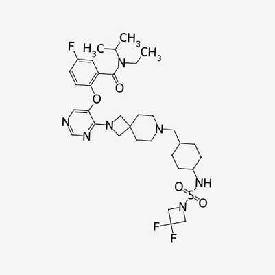 CCN(C(=O)c1cc(F)ccc1Oc1cncnc1N1CC2(CCN(CC3CCC(NS(=O)(=O)N4CC(F)(F)C4)CC3)CC2)C1)C(C)C